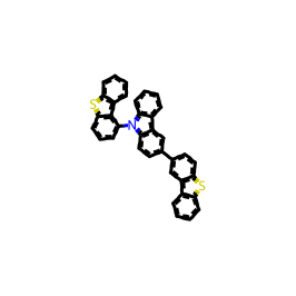 c1ccc2c(c1)sc1ccc(-c3ccc4c(c3)c3ccccc3n4-c3cccc4sc5ccccc5c34)cc12